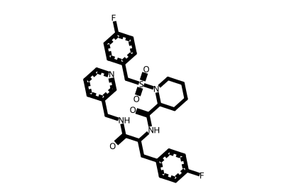 O=C(NCc1cccnc1)C(Cc1ccc(F)cc1)NC(=O)C1CCCCN1S(=O)(=O)Cc1ccc(F)cc1